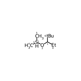 CCC(O[SiH](C)C)C(C)(C)C